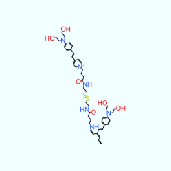 C=C/C=C(\C=C/NCCCC(=O)NCCSSCCNC(=O)CCC[n+]1ccc(/C=C/c2ccc(N(CCO)CCO)cc2)cc1)/C=C/c1ccc(N(CCO)CCO)cc1